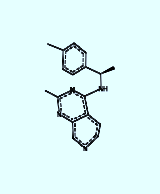 Cc1ccc([C@@H](C)Nc2nc(C)nc3cnccc23)cc1